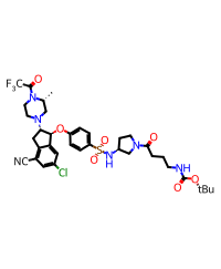 C[C@@H]1CN([C@H]2Cc3c(C#N)cc(Cl)cc3[C@@H]2Oc2ccc(S(=O)(=O)N[C@H]3CCN(C(=O)CCCNC(=O)OC(C)(C)C)C3)cc2)CCN1C(=O)C(F)(F)F